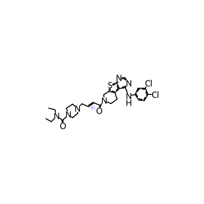 CCN(CC)C(=O)N1CCN(C/C=C/C(=O)N2CCc3c(sc4ncnc(Nc5ccc(Cl)c(Cl)c5)c34)C2)CC1